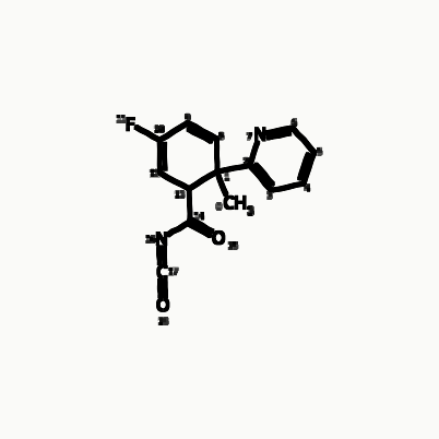 CC1(c2ccccn2)C=CC(F)=CC1C(=O)N=C=O